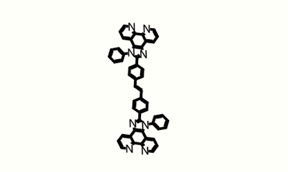 C(=C\c1ccc(-c2nc3c4cccnc4c4ncccc4c3n2-c2ccccc2)cc1)/c1ccc(-c2nc3c4cccnc4c4ncccc4c3n2-c2ccccc2)cc1